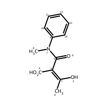 C/C(O)=C(\C(=O)O)C(=O)N(C)c1ccccc1